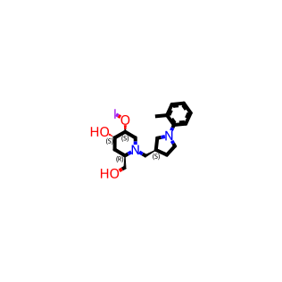 Cc1ccccc1N1CC[C@@H](CN2C[C@H](OI)[C@@H](O)C[C@@H]2CO)C1